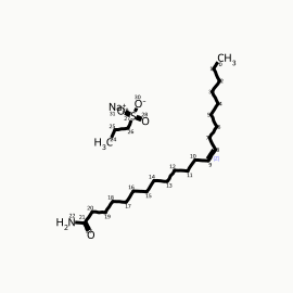 CCCCCCCC/C=C\CCCCCCCCCCCC(N)=O.CCCS(=O)(=O)[O-].[Na+]